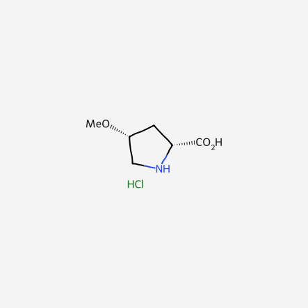 CO[C@H]1CN[C@@H](C(=O)O)C1.Cl